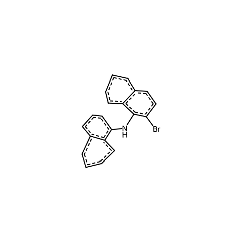 Brc1ccc2ccccc2c1Nc1cccc2ccccc12